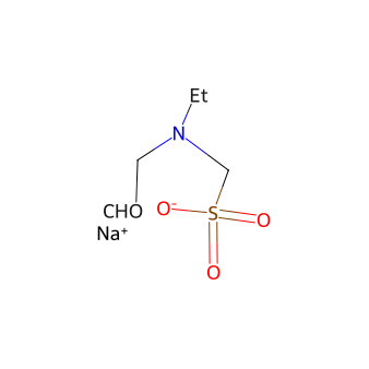 CCN(CC=O)CS(=O)(=O)[O-].[Na+]